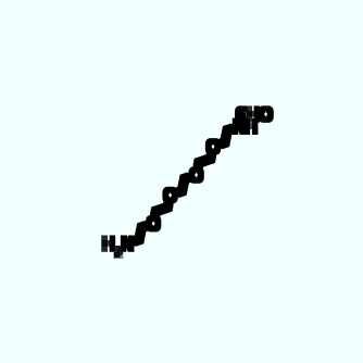 NCCOCCOCCOCCOCCNC=O